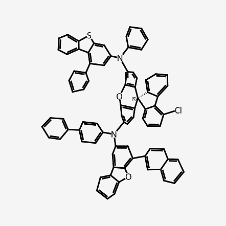 Clc1cccc2c1-c1ccccc1[C@]21c2ccc(N(c3ccccc3)c3cc(-c4ccccc4)c4c(c3)sc3ccccc34)cc2Oc2cc(N(c3ccc(-c4ccccc4)cc3)c3cc(-c4ccc5ccccc5c4)c4oc5ccccc5c4c3)ccc21